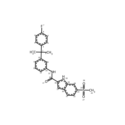 CC(C)(c1ccc(F)cc1)c1cccc(NC(=O)c2cc3ccc(S(C)(=O)=O)cc3[nH]2)c1